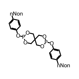 CCCCCCCCCc1ccc(OP2OCC3(CO2)COP(Oc2ccc(CCCCCCCCC)cc2)OC3)cc1